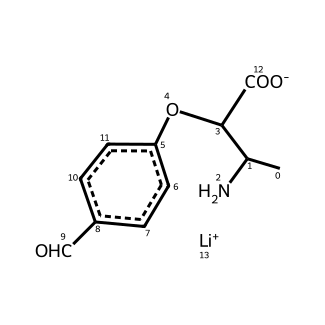 CC(N)C(Oc1ccc(C=O)cc1)C(=O)[O-].[Li+]